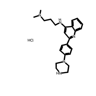 CN(C)CCCNc1cc(-c2ccc(N3CCNCC3)cc2)nc2ccccc12.Cl